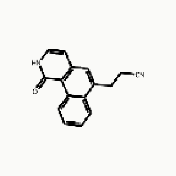 N#CCCc1cc2cc[nH]c(=O)c2c2ccccc12